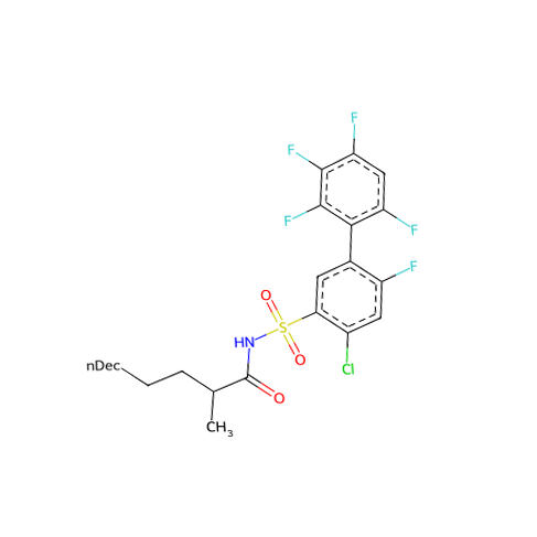 CCCCCCCCCCCCC(C)C(=O)NS(=O)(=O)c1cc(-c2c(F)cc(F)c(F)c2F)c(F)cc1Cl